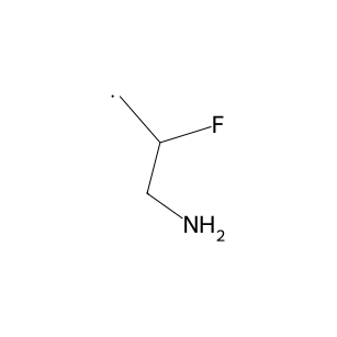 [CH2]C(F)CN